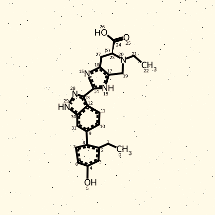 CCc1cc(O)ccc1-c1ccc2c(-c3nc4c([nH]3)CN(CC)[C@H](C(=O)O)C4)n[nH]c2c1